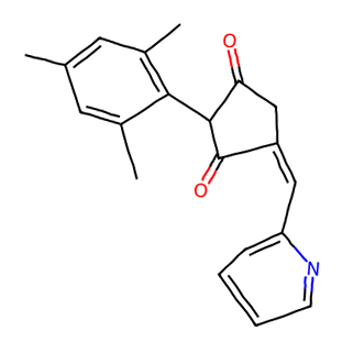 Cc1cc(C)c(C2C(=O)CC(=Cc3ccccn3)C2=O)c(C)c1